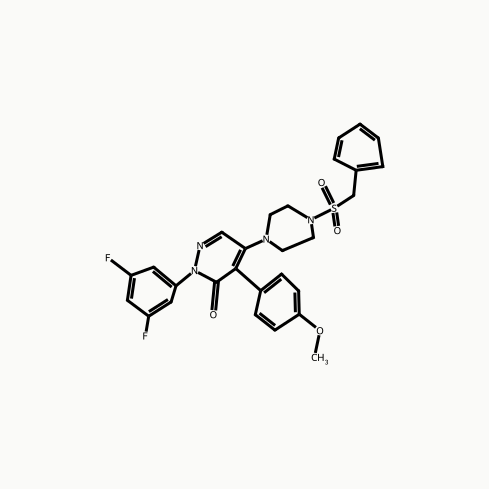 COc1ccc(-c2c(N3CCN(S(=O)(=O)Cc4ccccc4)CC3)cnn(-c3cc(F)cc(F)c3)c2=O)cc1